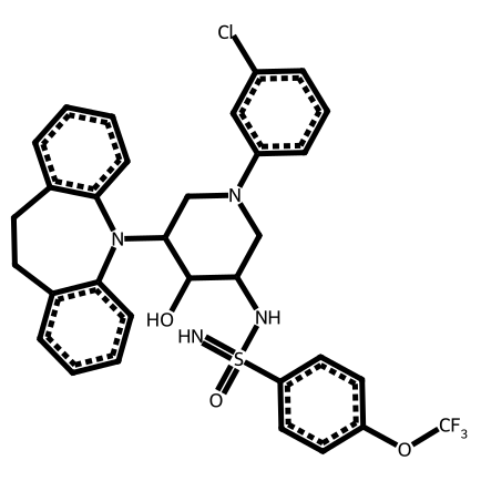 N=S(=O)(NC1CN(c2cccc(Cl)c2)CC(N2c3ccccc3CCc3ccccc32)C1O)c1ccc(OC(F)(F)F)cc1